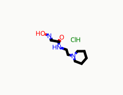 Cl.O=C(/C=N/O)NCCN1CCCCC1